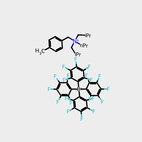 CCC[N+](Cc1ccc(C)cc1)(CC(C)C)CC(C)C.Fc1c(F)c(F)c([B-](c2c(F)c(F)c(F)c(F)c2F)(c2c(F)c(F)c(F)c(F)c2F)c2c(F)c(F)c(F)c(F)c2F)c(F)c1F